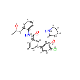 CC(=O)Cc1ccccc1NC(=O)c1cccc(-c2ccc(Cl)c(OC3CCCNC3)c2)c1